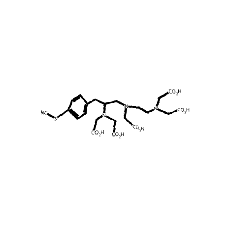 N#CSc1ccc(CC(CN(CCN(CC(=O)O)CC(=O)O)CC(=O)O)N(CC(=O)O)CC(=O)O)cc1